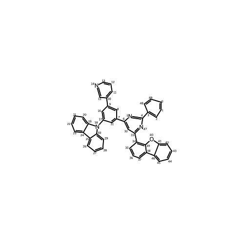 c1ccc(-c2nc(-c3cc(-c4cccnc4)cc(-n4c5ccccc5c5ccccc54)c3)cc(-c3cccc4c3oc3ccccc34)n2)cc1